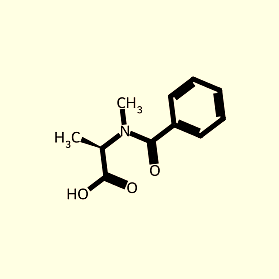 C[C@H](C(=O)O)N(C)C(=O)c1ccccc1